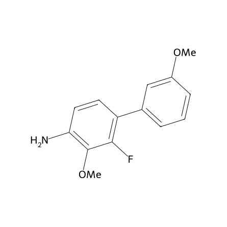 COc1cccc(-c2ccc(N)c(OC)c2F)c1